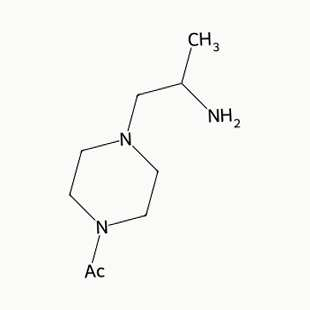 CC(=O)N1CCN(CC(C)N)CC1